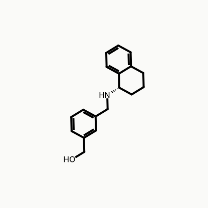 OCc1cccc(CN[C@H]2CCCc3ccccc32)c1